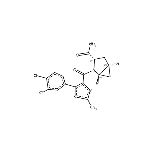 Cc1nc(C(=O)N2[C@H](C(N)=O)C[C@H]3C[C@@H]32)c(-c2ccc(Cl)c(Cl)c2)s1